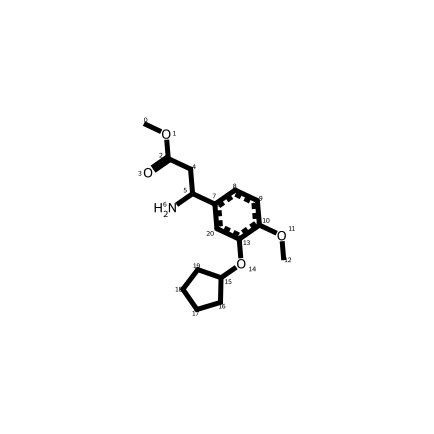 COC(=O)CC(N)c1ccc(OC)c(OC2CCCC2)c1